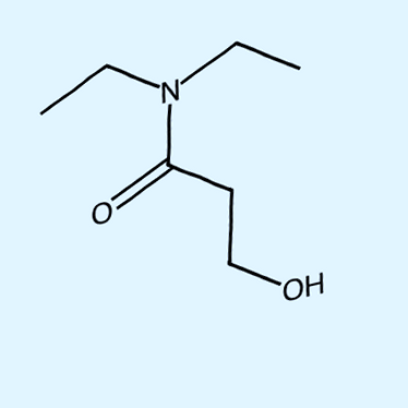 CCN(CC)C(=O)CCO